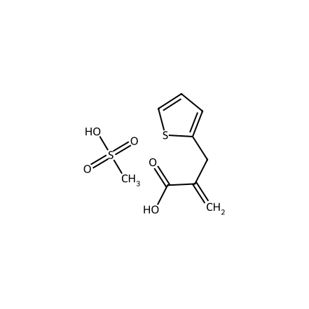 C=C(Cc1cccs1)C(=O)O.CS(=O)(=O)O